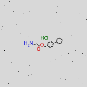 Cl.NCCC(=O)OCc1ccc(-c2ccccc2)cc1